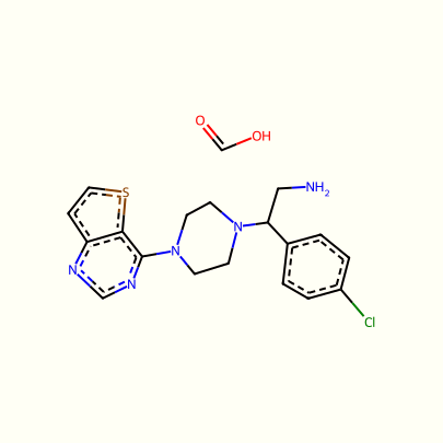 NCC(c1ccc(Cl)cc1)N1CCN(c2ncnc3ccsc23)CC1.O=CO